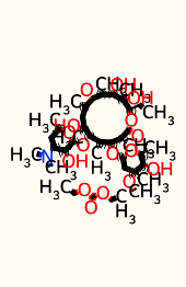 CCOC(=O)OCC.CC[C@H]1OC(=O)[C@H](C)[C@@H](O[C@H]2C[C@@](C)(OC)[C@@H](O)[C@H](C)O2)[C@H](C)[C@@H](O[C@@H]2O[C@H](C)C[C@H](N(C)C)[C@H]2O)[C@](C)(O)C[C@@H](C)C(=O)[C@H](C)[C@@H](O)[C@]1(C)O